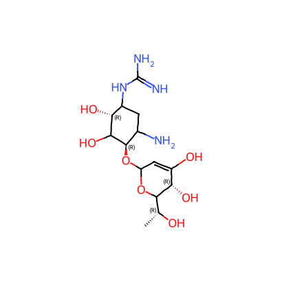 C[C@@H](O)C1OC(O[C@@H]2C(N)CC(NC(=N)N)[C@@H](O)C2O)C=C(O)[C@@H]1O